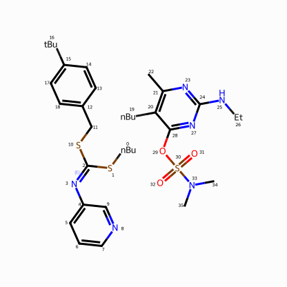 CCCCS/C(=N\c1cccnc1)SCc1ccc(C(C)(C)C)cc1.CCCCc1c(C)nc(NCC)nc1OS(=O)(=O)N(C)C